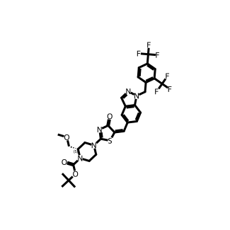 COC[C@@H]1CN(C2=NC(=O)C(=Cc3ccc4c(cnn4Cc4ccc(C(F)(F)F)cc4C(F)(F)F)c3)S2)CCN1C(=O)OC(C)(C)C